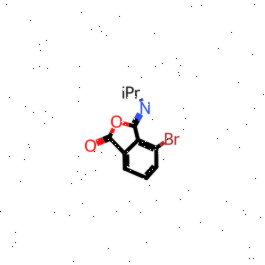 CC(C)/N=C1\OC(=O)c2cccc(Br)c21